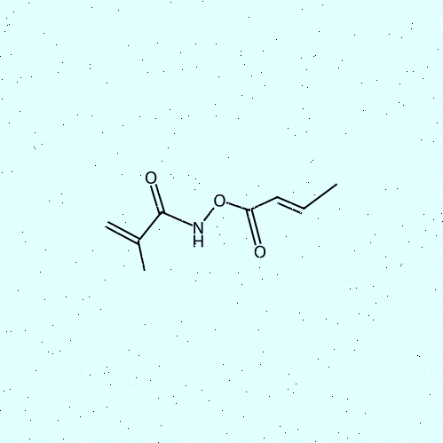 C=C(C)C(=O)NOC(=O)C=CC